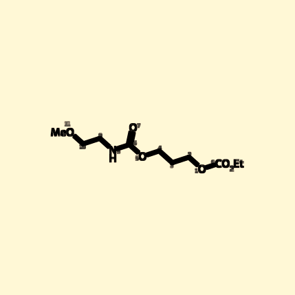 CCOC(=O)OCCCOC(=O)NCCOC